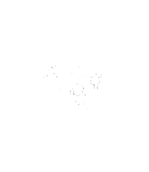 CS(=O)(=O)N1CC[C@H](c2nc(N)nc(-c3c[nH]cn3)c2C(F)(F)F)[C@@H](F)C1